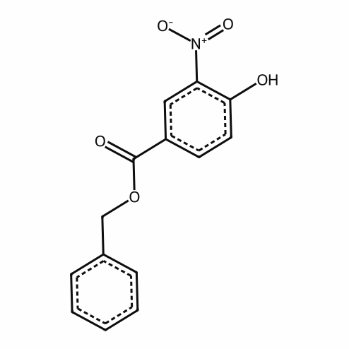 O=C(OCc1ccccc1)c1ccc(O)c([N+](=O)[O-])c1